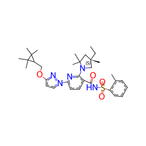 CC[C@]1(C)CN(c2nc(-n3ccc(OCC4C(C)(C)C4(C)C)n3)ccc2C(=O)NS(=O)(=O)c2ccccc2C)C(C)(C)C1